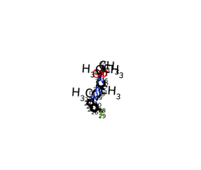 C[C@H]1CN(C2(C)CCN(C(=O)OC(C)(C)C)CC2)CCN1C1CCc2ccc(CF)cc21